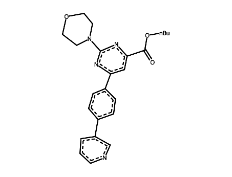 CCCCOC(=O)c1cc(-c2ccc(-c3cccnc3)cc2)nc(N2CCOCC2)n1